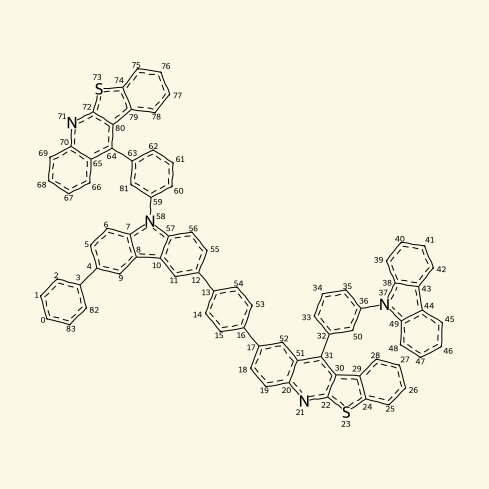 c1ccc(-c2ccc3c(c2)c2cc(-c4ccc(-c5ccc6nc7sc8ccccc8c7c(-c7cccc(-n8c9ccccc9c9ccccc98)c7)c6c5)cc4)ccc2n3-c2cccc(-c3c4ccccc4nc4sc5ccccc5c34)c2)cc1